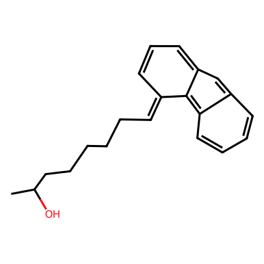 CC(O)CCCCCC=c1cccc2c1=c1ccccc1=C2